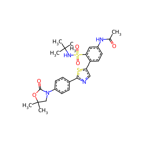 CC(=O)Nc1ccc(-c2cnc(-c3ccc(N4CC(C)(C)OC4=O)cc3)s2)c(S(=O)(=O)NC(C)(C)C)c1